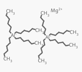 CCCCC[CH2][Al-]([CH2]CCCCC)([CH2]CCCCC)[CH2]CCCCC.CCCCC[CH2][Al-]([CH2]CCCCC)([CH2]CCCCC)[CH2]CCCCC.[Mg+2]